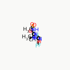 CC(C)c1nn(-c2cc(OCC(F)F)ncc2F)c2ncc(C(=O)NC3(C)CS(=O)(=O)C3)cc12